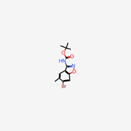 Cc1cc2c(NC(=O)OC(C)(C)C)noc2cc1Br